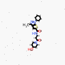 Cc1nn(C2CCCCC2)c2sc(C(=O)NCCC(=O)N3CCC(O)CC3)cc12